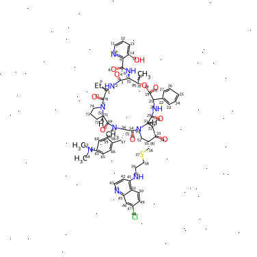 CC[C@H]1NC(=O)[C@@H](NC(=O)c2ncccc2O)[C@@H](C)OC(=O)C(c2ccccc2)NC(=O)[C@@H]2CC(=O)[C@H](CSCCNc3ccnc4cc(Cl)ccc34)CN2C(=O)[C@H](Cc2ccc(N(C)C)cc2)N(C)C(=O)[C@@H]2CCCN2C1=O